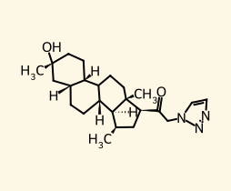 C[C@@H]1C[C@H](C(=O)Cn2ccnn2)[C@@]2(C)CCC3[C@H]4CC[C@@](C)(O)C[C@H]4CC[C@H]3[C@H]12